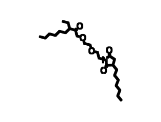 CCCCCCCC1CC(=O)N(CCOCCOCC(=O)C(CC)CCCCCC)C1=O